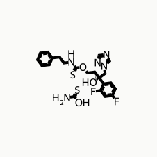 NC(O)=S.O[C@@](CCOC(=S)NCCc1ccccc1)(Cn1cncn1)c1ccc(F)cc1F